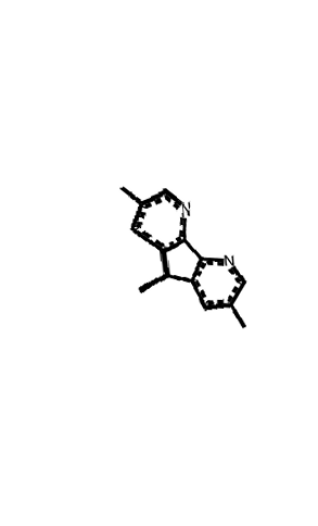 Cc1cnc2c(c1)C(C)c1cc(C)cnc1-2